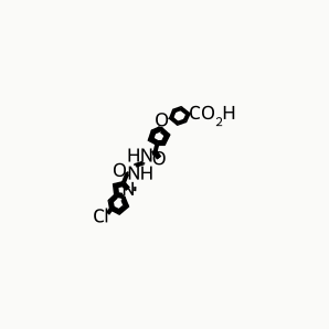 Cn1c(C(=O)NCCNC(=O)c2ccc(O[C@H]3CC[C@@H](C(=O)O)CC3)cc2)cc2cc(Cl)ccc21